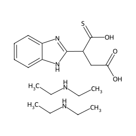 CCNCC.CCNCC.O=C(O)CC(C(O)=S)c1nc2ccccc2[nH]1